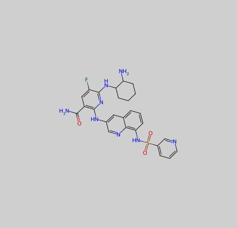 NC(=O)c1cc(F)c(NC2CCCCC2N)nc1Nc1cnc2c(NS(=O)(=O)c3cccnc3)cccc2c1